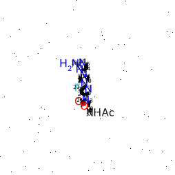 CC(=O)NC[C@H]1CN(c2cnc(N3CCN(c4ccnc(N)n4)CC3)c(F)c2)C(=O)O1